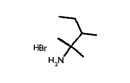 Br.CCC(C)C(C)(C)N